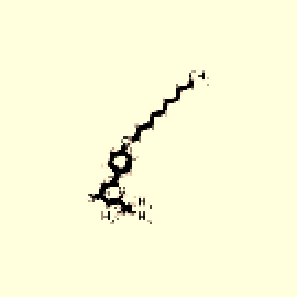 CCCCCCCCCCOc1ccc(-c2cc(=O)cc(C(C)(C)C)o2)cc1